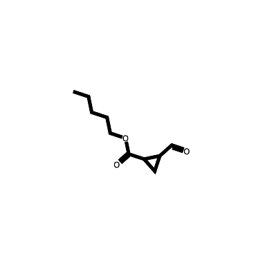 CCCCCOC(=O)C1CC1C=O